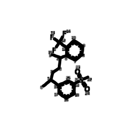 CC(CCC(C)c1ccccc1C(F)(F)F)c1cccc(S(C)(=O)=O)c1